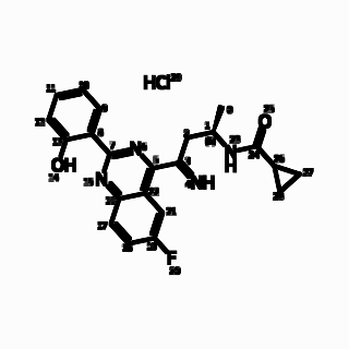 C[C@H](CC(=N)c1nc(-c2ccccc2O)nc2ccc(F)cc12)NC(=O)C1CC1.Cl